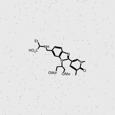 CCC(NCc1ccc2nc(-c3cc(C)c(=O)n(C)c3)n(C(COC)COC)c2c1)C(=O)O